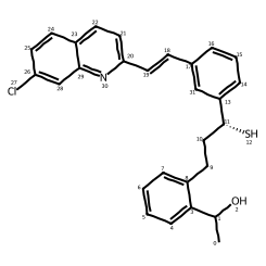 CC(O)c1ccccc1CC[C@@H](S)c1cccc(/C=C/c2ccc3ccc(Cl)cc3n2)c1